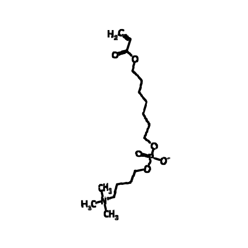 C=CC(=O)OCCCCCCCOP(=O)([O-])OCCCC[N+](C)(C)C